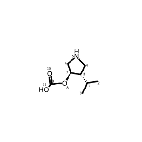 CC(C)[C@H]1CNC[C@@H]1OC(=O)O